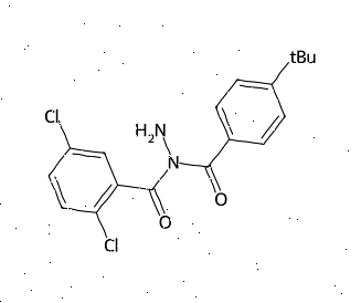 CC(C)(C)c1ccc(C(=O)N(N)C(=O)c2cc(Cl)ccc2Cl)cc1